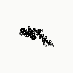 NC(=O)CC[C@H](N)C(=O)NCC(=O)NCC(=O)N[C@@H](CO)C(=O)N[C@@H](CC(N)=O)C(=O)N[C@@H](Cc1ccccc1)C(=O)N[C@@H](Cc1ccccc1)C(N)=O